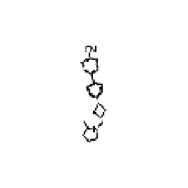 CC1CCCN1C[C@H]1C[C@@H](c2ccc(-c3ccc(C#N)cc3)cc2)C1